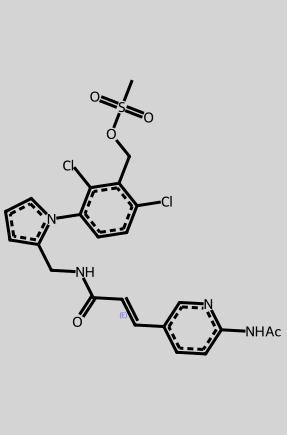 CC(=O)Nc1ccc(/C=C/C(=O)NCc2cccn2-c2ccc(Cl)c(COS(C)(=O)=O)c2Cl)cn1